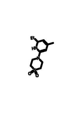 CCC1C=C(C)C=C(N2CCS(=O)(=O)CC2)N1